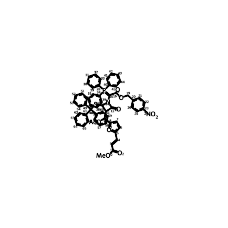 COC(=O)C=Cc1ccc(C(OC(C)=O)C2C(=O)N(C(C(=O)OCc3ccc([N+](=O)[O-])cc3)=P(c3ccccc3)(c3ccccc3)c3ccccc3)C2SC(c2ccccc2)(c2ccccc2)c2ccccc2)o1